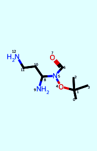 CC(C)(C)ON(C=O)C(N)CCN